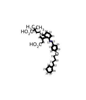 CC(C)(CCn1cc(CC(=O)O)c2c(/C=C/c3ccc(OCCCCc4ccccc4)cc3)cccc21)C(=O)O